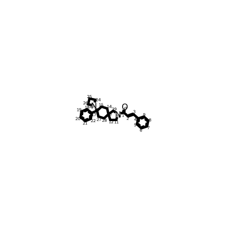 O=C(C=Cc1ccccc1)N1CCC2(CCC(c3ccccc3)(N3CCC3)CC2)C1